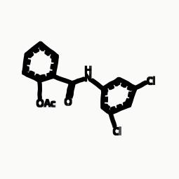 CC(=O)Oc1ccccc1C(=O)Nc1cc(Cl)cc(Cl)c1